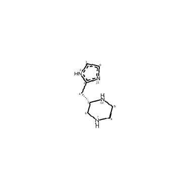 c1c[nH]c(C[C@H]2CNCCN2)n1